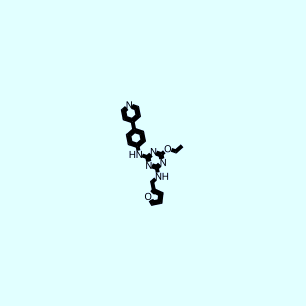 CCOc1nc(NCc2ccco2)nc(Nc2ccc(-c3ccncc3)cc2)n1